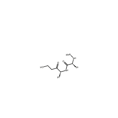 CNN[C@H](C(=O)N[C@H](C(=O)CCO)C(C)C)C(C)C